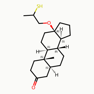 CC(S)CO[C@@]12CCC[C@H]1[C@@H]1CC[C@H]3CC(=O)CC[C@]3(C)[C@H]1CC2